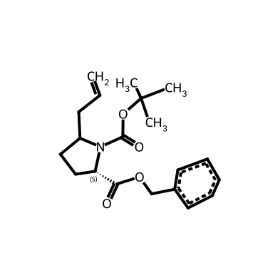 C=CCC1CC[C@@H](C(=O)OCc2ccccc2)N1C(=O)OC(C)(C)C